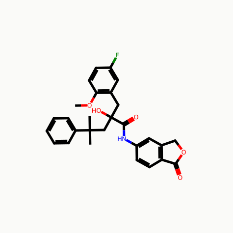 COc1ccc(F)cc1CC(O)(CC(C)(C)c1ccccc1)C(=O)Nc1ccc2c(c1)COC2=O